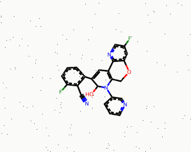 N#Cc1c(F)cccc1C1=CC2=C(COc3cc(F)cnc32)N(c2cccnc2)C1O